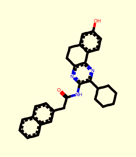 O=C(Cc1ccc2ccccc2c1)Nc1nc2c(nc1C1CCCCC1)-c1ccc(O)cc1CC2